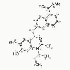 C=CC(C)N(C(=O)C(F)(F)F)c1cc(O)c(CCC)cc1COc1ccc2c(C(=O)NC)cccc2c1